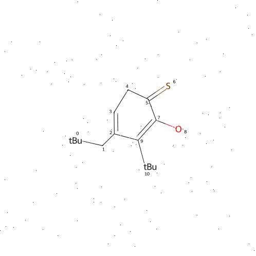 CC(C)(C)CC1=CCC(=S)C([O])=C1C(C)(C)C